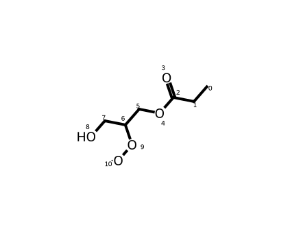 CCC(=O)OCC(CO)O[O]